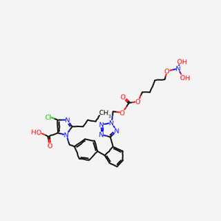 CCCCc1nc(Cl)c(C(=O)O)n1Cc1ccc(-c2ccccc2-c2nnn(COC(=O)OCCCCON(O)O)n2)cc1